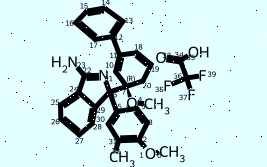 COc1ccc(C2([C@]3(OC)C=C(c4ccccc4)C=CC3)N=C(N)c3ccccc32)cc1C.O=C(O)C(F)(F)F